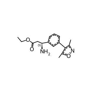 CCOC(=O)C[C@H](N)c1cccc(-c2c(C)noc2C)c1